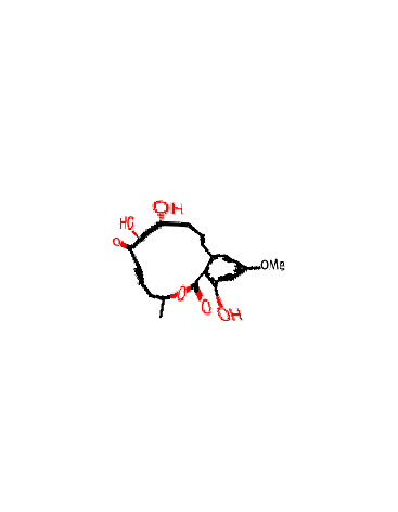 COc1cc(O)c2c(c1)/C=C/C[C@@H](O)[C@H](O)C(=O)/C=C\CC(C)OC2=O